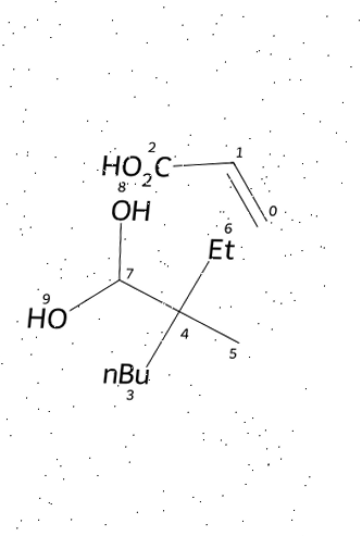 C=CC(=O)O.CCCCC(C)(CC)C(O)O